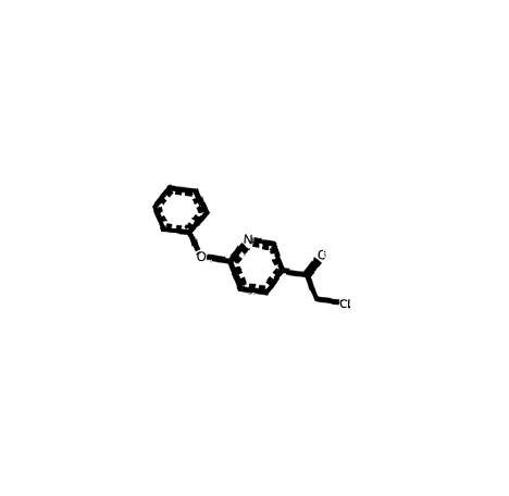 O=C(CCl)c1ccc(Oc2ccccc2)nc1